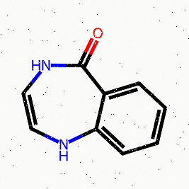 O=C1NC=CNc2ccccc21